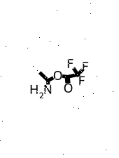 CC(N)OC(=O)C(F)(F)F